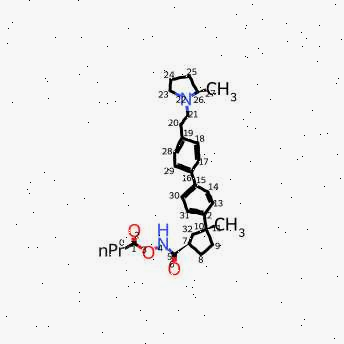 CCCC(=O)ONC(=O)[C@@H]1CC[C@@](C)(c2ccc(-c3ccc(CCN4CCC[C@H]4C)cc3)cc2)C1